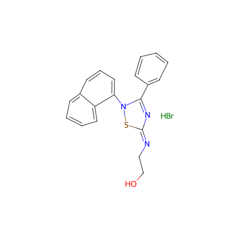 Br.OCC/N=c1/nc(-c2ccccc2)n(-c2cccc3ccccc23)s1